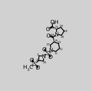 CS(=O)(=O)C1CN(S(=O)(=O)N2CCC[C@H](C(=O)N3CCC[C@@H]3C(=O)O)C2)C1